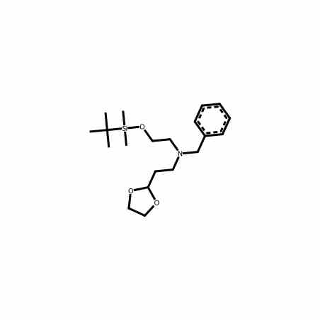 CC(C)(C)[Si](C)(C)OCCN(CCC1OCCO1)Cc1ccccc1